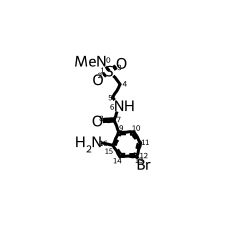 CNS(=O)(=O)CCNC(=O)c1ccc(Br)cc1N